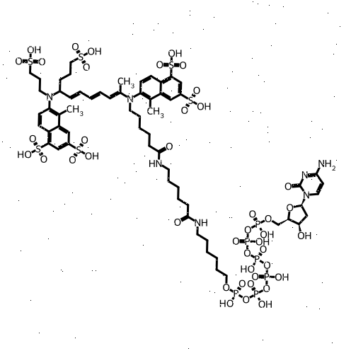 C\C(=C/C=C/C=C/C(CCCS(=O)(=O)O)N(CCCS(=O)(=O)O)c1ccc2c(S(=O)(=O)O)cc(S(=O)(=O)O)cc2c1C)N(CCCCCC(=O)NCCCCCC(=O)NCCCCCCOP(=O)(O)OP(=O)(O)OP(=O)(O)OP(=O)(O)OP(=O)(O)OP(=O)(O)OC[C@H]1O[C@@H](n2ccc(N)nc2=O)C[C@H]1O)c1ccc2c(S(=O)(=O)O)cc(S(=O)(=O)O)cc2c1C